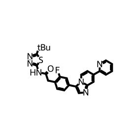 CC(C)(C)c1nnc(NC(=O)Cc2ccc(-c3cnc4cc(-c5ccccn5)ccn34)cc2F)s1